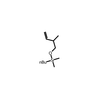 C=CC(C)CO[Si](C)(C)CCCC